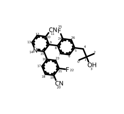 CC(C)(O)Cc1ccc(-c2c(C#N)ccnc2-c2ccc(C#N)c(F)c2)c(F)c1